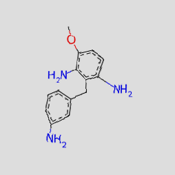 COc1ccc(N)c(Cc2cccc(N)c2)c1N